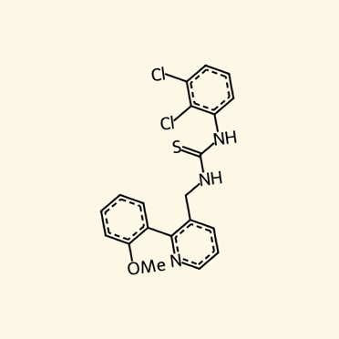 COc1ccccc1-c1ncccc1CNC(=S)Nc1cccc(Cl)c1Cl